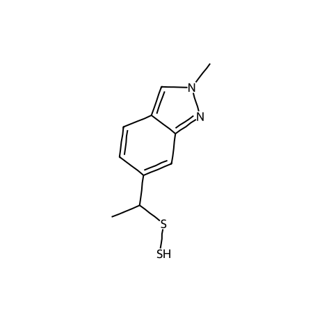 CC(SS)c1ccc2cn(C)nc2c1